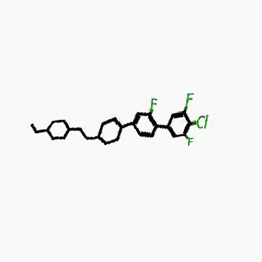 CCC1CCC(CCC2CCC(c3ccc(-c4cc(F)c(Cl)c(F)c4)c(F)c3)CC2)CC1